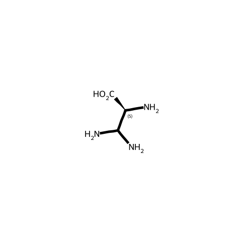 NC(N)[C@H](N)C(=O)O